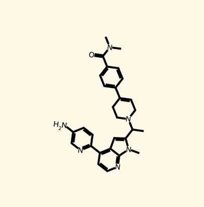 CC(c1cc2c(-c3ccc(N)cn3)ccnc2n1C)N1CC=C(c2ccc(C(=O)N(C)C)cc2)CC1